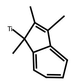 CC1=C(C)[C](C)([Ti])c2ccccc21